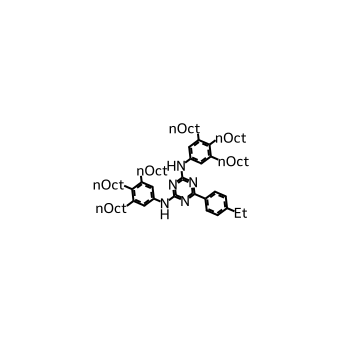 CCCCCCCCc1cc(Nc2nc(Nc3cc(CCCCCCCC)c(CCCCCCCC)c(CCCCCCCC)c3)nc(-c3ccc(CC)cc3)n2)cc(CCCCCCCC)c1CCCCCCCC